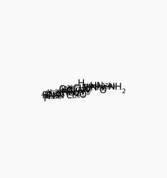 Cc1c(NC(=O)c2ccc(CNCCNC(=O)CCCN)cn2)cccc1-c1cccc(NC(=O)c2ccc(CN3CCCC(F)(F)C3)cn2)c1Cl